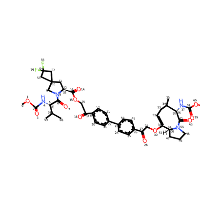 COC(=O)N[C@H](C(=O)N1CC2(C[C@H]1C(=O)OCC(=O)c1ccc(-c3ccc(C(=O)COC4=CCC(C)[C@H](NC(=O)OC)C(=O)N5CCC[C@@H]45)cc3)cc1)CC(F)(F)C2)C(C)C